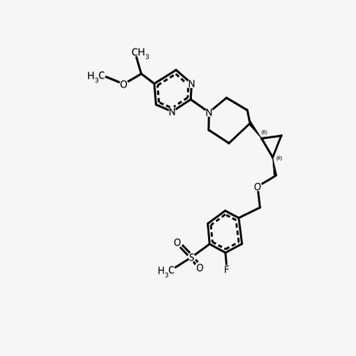 COC(C)c1cnc(N2CCC([C@H]3C[C@H]3COCc3ccc(S(C)(=O)=O)c(F)c3)CC2)nc1